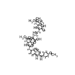 COc1ccc(NC(=NC#N)Nc2ccc(CC(=O)NC(CC(C)C)C(=O)NC(CCNCC(NC(=O)CC(C)(C)C)C(=O)O)C(=O)O)cc2)cc1